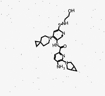 Nc1ccc(C(=O)Nc2cnc(SNCCO)cc2N2CCC3(CC2)CC3)nc1N1CC2CC2C1